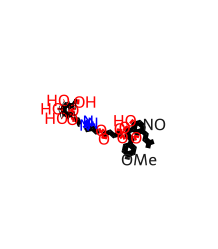 COc1ccc(-c2oc3c(CC=C(C)C)c(N=O)cc(O)c3c(=O)c2OC(=O)CCC(=O)OCc2cn(CCO[C@@H]3O[C@H](CO)[C@@H](O)[C@H](O)[C@H]3O)nn2)cc1